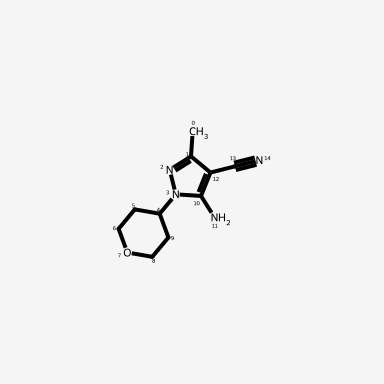 Cc1nn(C2CCOCC2)c(N)c1C#N